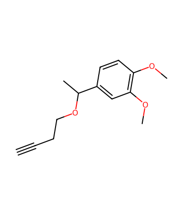 C#CCCOC(C)c1ccc(OC)c(OC)c1